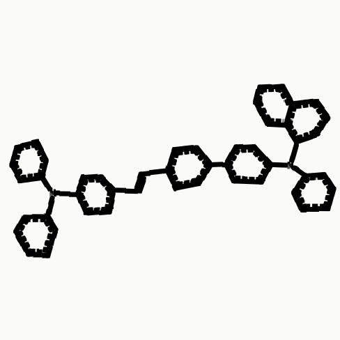 C(=C\c1ccc(N(c2ccccc2)c2ccccc2)cc1)/c1ccc(-c2ccc(N(c3ccccc3)c3cccc4ccccc34)cc2)cc1